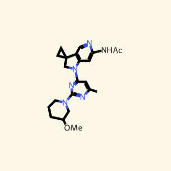 COC1CCCN(c2nc(C)cc(N3CC4(CC4)c4cnc(NC(C)=O)cc43)n2)C1